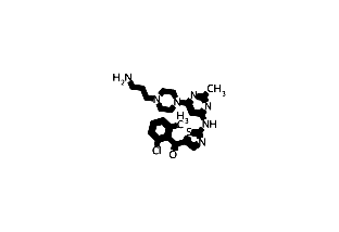 Cc1nc(Nc2ncc(C(=O)c3c(C)cccc3Cl)s2)cc(N2CCN(CCCN)CC2)n1